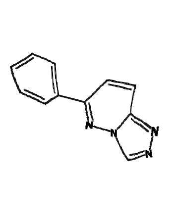 c1ccc(-c2ccc3nncn3n2)cc1